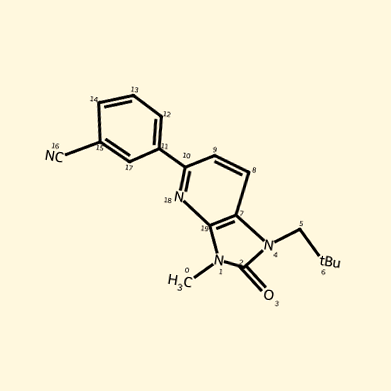 Cn1c(=O)n(CC(C)(C)C)c2ccc(-c3cccc(C#N)c3)nc21